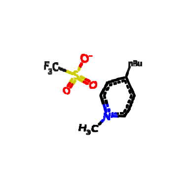 CCCCc1cc[n+](C)cc1.O=S(=O)([O-])C(F)(F)F